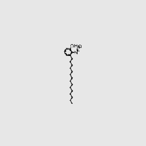 CCCCCCCCCCCCCCCc1cccc(O)c1N=C=O